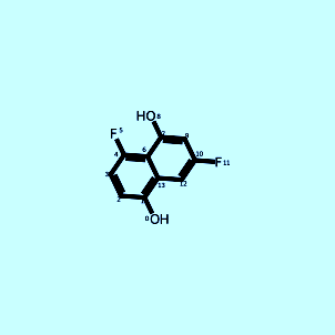 Oc1ccc(F)c2c(O)cc(F)cc12